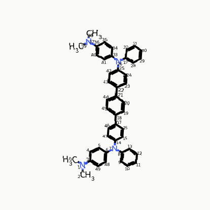 CN(C)c1ccc(N(c2ccccc2)c2ccc(-c3ccc(-c4ccc(N(c5ccccc5)c5ccc(N(C)C)cc5)cc4)cc3)cc2)cc1